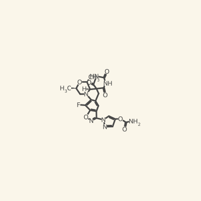 C[C@@H]1CN2c3c(cc4c(-n5cc(OC(N)=O)cn5)noc4c3F)CC3(C(=O)NC(=O)NC3=O)[C@H]2[C@H](C)O1